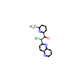 Cc1cccc(C(=O)C(Br)c2ccc3ncccc3n2)n1